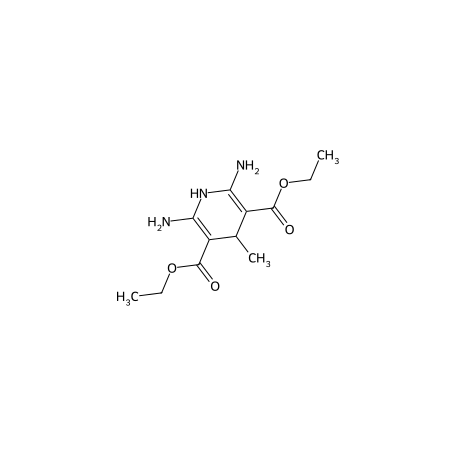 CCOC(=O)C1=C(N)NC(N)=C(C(=O)OCC)C1C